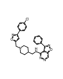 Clc1ccc(-c2cc(CN3CCC(CNc4nncc5onc(-c6ccccc6)c45)CC3)on2)cc1